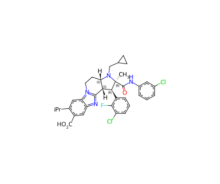 CC(C)c1cc2c(cc1C(=O)O)nc1n2CC[C@H]2[C@@H]1[C@H](c1cccc(Cl)c1F)[C@](C)(C(=O)Nc1cccc(Cl)c1)N2CC1CC1